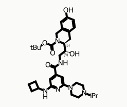 CC(C)N1CCN(c2cc(C(=O)NC[C@@H](O)[C@@H]3Cc4ccc(O)cc4CN3C(=O)OC(C)(C)C)cc(NC3CCC3)n2)CC1